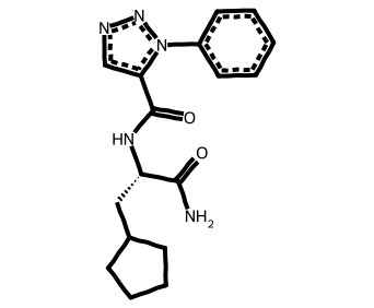 NC(=O)[C@H](CC1CCCC1)NC(=O)c1cnnn1-c1ccccc1